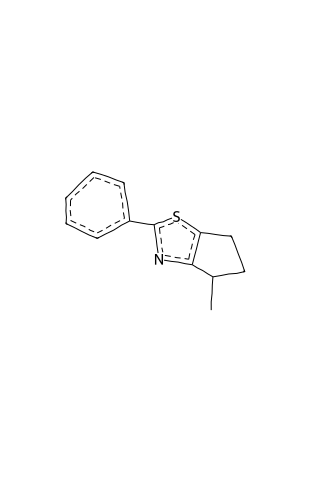 CC1CCc2sc(-c3ccccc3)nc21